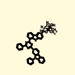 CC(C)(O)C(C)(C)OBc1ccc2sc3c(-c4nc(-c5ccccc5)nc(C5C=Cc6c(n(-c7ccccc7)c7ccccc67)C5)n4)cccc3c2c1